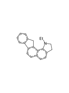 CCN1CCc2ccc3ccc4c(c3c21)Cc1ccccc1-4